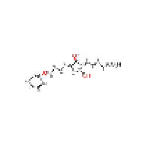 O=C(O)CC=CC=C1C(=O)C(CCCCOc2ccccc2)=CC1O